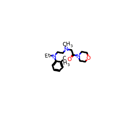 CCN(CCN(C)CC(=O)N1CCOCC1)c1ccccc1C